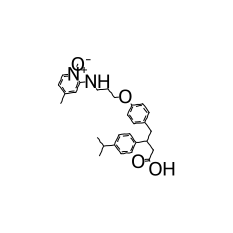 Cc1cc[n+]([O-])c(NCCCOc2ccc(CC(CC(=O)O)c3ccc(C(C)C)cc3)cc2)c1